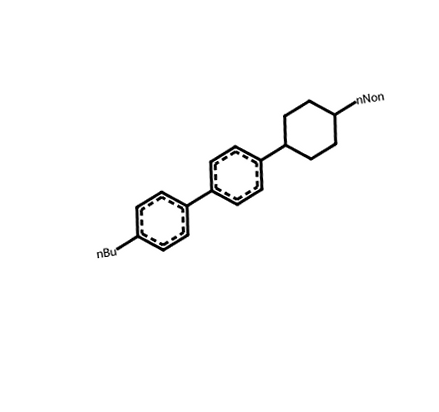 CCCCCCCCCC1CCC(c2ccc(-c3ccc(CCCC)cc3)cc2)CC1